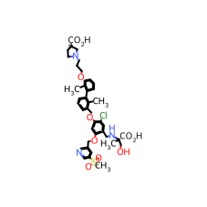 Cc1c(COc2cc(OCc3cncc(S(C)(=O)=O)c3)c(CN[C@](C)(CO)C(=O)O)cc2Cl)cccc1-c1cccc(OCCCN2CC[C@@H](C(=O)O)C2)c1C